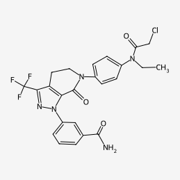 CCN(C(=O)CCl)c1ccc(N2CCc3c(C(F)(F)F)nn(-c4cccc(C(N)=O)c4)c3C2=O)cc1